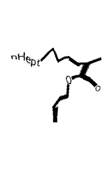 C=CCOC(=O)C(C)=CCCCCCCCCC